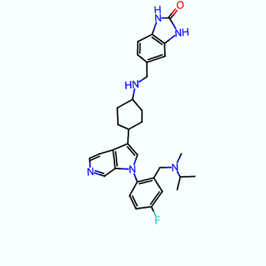 CC(C)N(C)Cc1cc(F)ccc1-n1cc(C2CCC(NCc3ccc4[nH]c(=O)[nH]c4c3)CC2)c2ccncc21